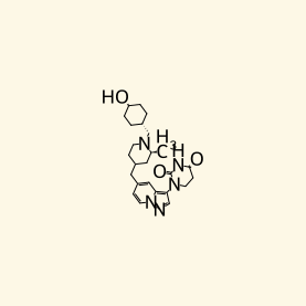 C[C@H]1CC(Cc2ccn3ncc(N4CCC(=O)NC4=O)c3c2)CCN1C[C@H]1CC[C@H](O)CC1